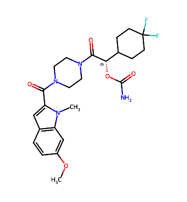 COc1ccc2cc(C(=O)N3CCN(C(=O)[C@@H](OC(N)=O)C4CCC(F)(F)CC4)CC3)n(C)c2c1